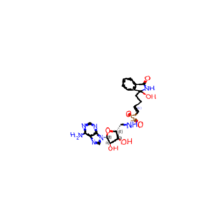 Nc1ncnc2c1ncn2[C@@H]1O[C@H](CNS(=O)(=O)/C=C/CCC2(O)NC(=O)c3ccccc32)[C@@H](O)[C@H]1O